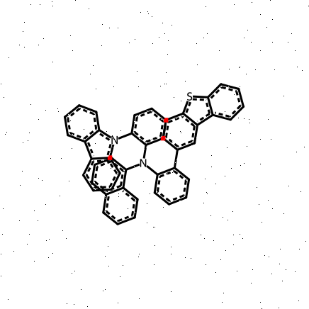 c1ccc(N(c2ccccc2-n2c3ccccc3c3ccccc32)c2cccc3ccccc23)c(-c2ccc3sc4ccccc4c3c2)c1